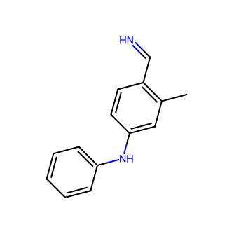 Cc1cc(Nc2ccccc2)ccc1C=N